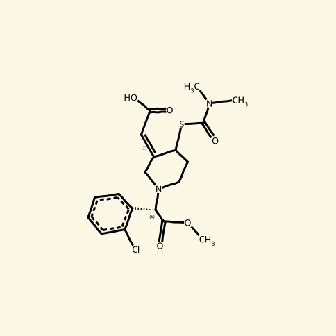 COC(=O)[C@H](c1ccccc1Cl)N1CCC(SC(=O)N(C)C)/C(=C\C(=O)O)C1